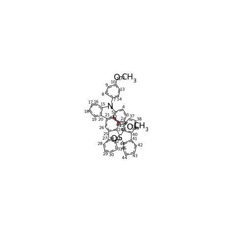 COc1ccc(N(c2ccc(OC)cc2)c2ccccc2-c2ccc3c(c2)-c2ccccc2S32(=O)c3ccccc3-c3ccccc32)cc1